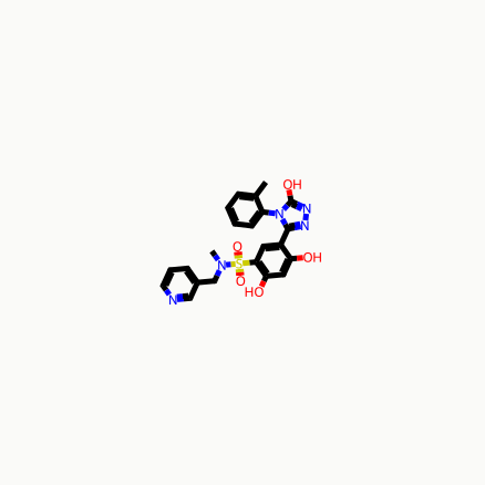 Cc1ccccc1-n1c(O)nnc1-c1cc(S(=O)(=O)N(C)Cc2cccnc2)c(O)cc1O